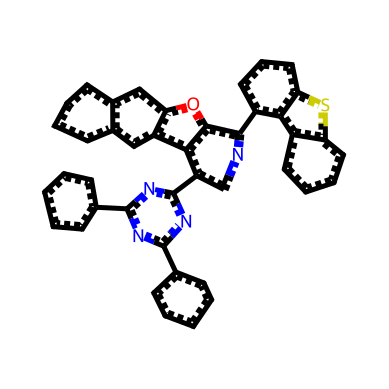 c1ccc(-c2nc(-c3ccccc3)nc(-c3cnc(-c4cccc5sc6ccccc6c45)c4oc5cc6ccccc6cc5c34)n2)cc1